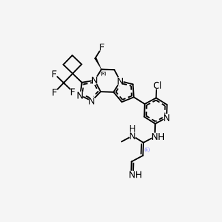 CN/C(=C\C=N)Nc1cc(-c2cc3n(c2)C[C@H](CF)n2c-3nnc2C2(C(F)(F)F)CCC2)c(Cl)cn1